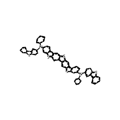 c1ccc(N(c2ccc3c(c2)sc2cc4c(cc23)sc2cc3c(cc24)sc2cc(N(c4ccccc4)c4ccc5sc6ccccc6c5c4)ccc23)c2ccc3sc4ccccc4c3c2)cc1